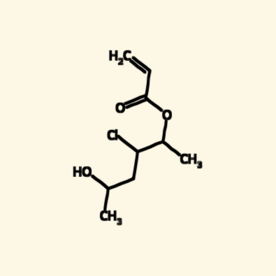 C=CC(=O)OC(C)C(Cl)CC(C)O